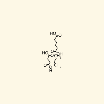 C=CCC.O=C(O)CCC(=O)O.O=C(O)CCCCC(=O)O